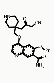 CC(C)Oc1cc2c(OCC3(CC(=O)CC#N)CCNCC3)ccnc2cc1C(N)=O